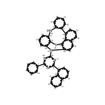 c1ccc(-c2nc(-c3cccc4ccccc34)nc(N3c4cccc5c4Sc4c3ccc3cccc(c43)-c3ccccc3N5)n2)cc1